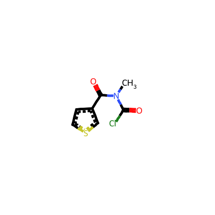 CN(C(=O)Cl)C(=O)c1ccsc1